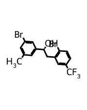 Cc1cc(Br)cc([C@@H](O)Cc2cc(C(F)(F)F)ccc2Br)c1